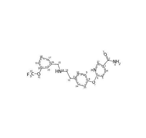 NC(=O)c1ccc(Oc2ccc(CCNCc3cccc(OC(F)(F)F)c3)cc2)nc1